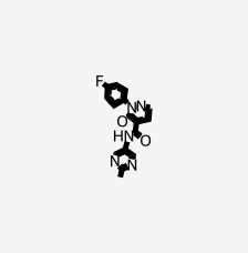 Cc1ncc(NC(=O)c2ccnn(-c3ccc(F)cc3)c2=O)cn1